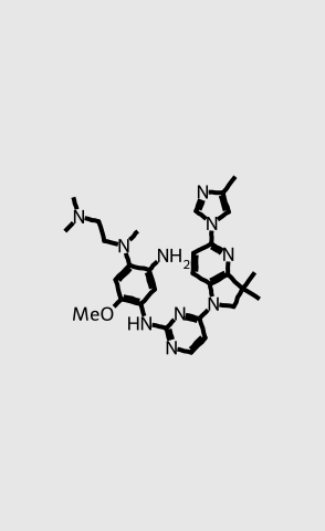 COc1cc(N(C)CCN(C)C)c(N)cc1Nc1nccc(N2CC(C)(C)c3nc(-n4cnc(C)c4)ccc32)n1